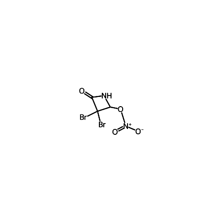 O=C1NC(O[N+](=O)[O-])C1(Br)Br